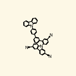 N#Cc1ccc(-n2c3ccc(C#N)cc3c3ccc(C#N)cc32)c(-c2cccc(-c3ccc(-n4c5ccccc5c5ccccc54)cc3)c2)c1